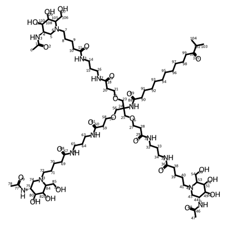 CC(=O)N[C@@H]1CN(CCCCC(=O)NCCCNC(=O)CCOCC(COCCC(=O)NCCCNC(=O)CCCCN2C[C@@H](NC(C)=O)C(O)C(O)C2CO)(COCCC(=O)NCCCNC(=O)CCCCN2C[C@@H](NC(C)=O)C(O)C(O)C2CO)NC(=O)CCCCCCCCCCC(=O)C(C)C)C(CO)C(O)C1O